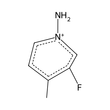 Cc1cc[n+](N)cc1F